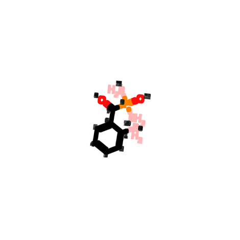 Bc1ccccc1C(=O)P(B)(B)=O